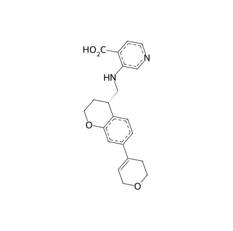 O=C(O)c1ccncc1NC[C@H]1CCOc2cc(C3=CCOCC3)ccc21